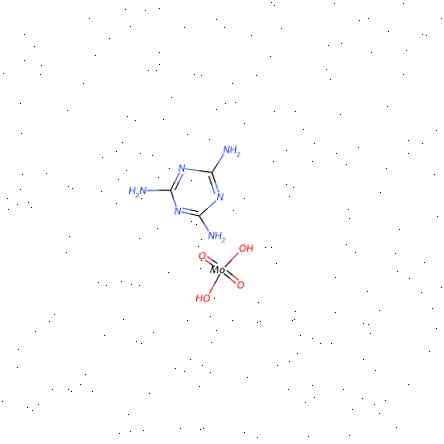 Nc1nc(N)nc(N)n1.[O]=[Mo](=[O])([OH])[OH]